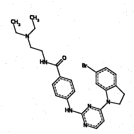 CCN(CC)CCNC(=O)c1ccc(Nc2nccc(N3CCc4ccc(Br)cc43)n2)cc1